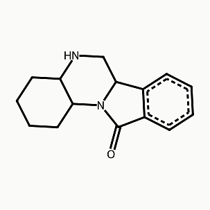 O=C1c2ccccc2C2CNC3CCCCC3N12